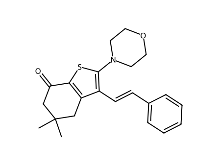 CC1(C)CC(=O)c2sc(N3CCOCC3)c(C=Cc3ccccc3)c2C1